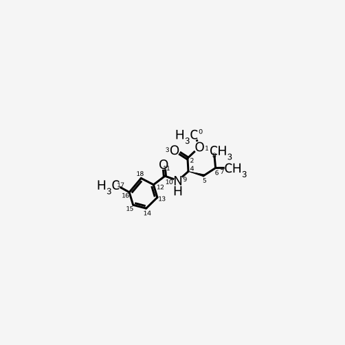 COC(=O)[C@@H](CC(C)C)NC(=O)c1cccc(C)c1